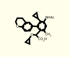 CC(=O)Nc1cc(C)c(C(OC2CC2)C(=O)O)c(-c2ccc3c(c2)CCCO3)c1C1CC1